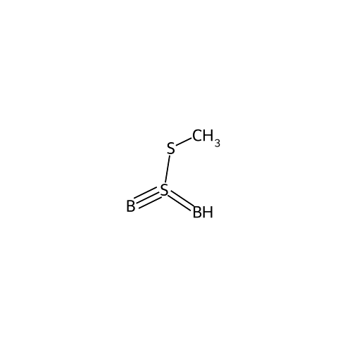 B#S(=B)SC